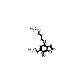 CCc1cc(OCCCOC)c2ccoc2c1Br